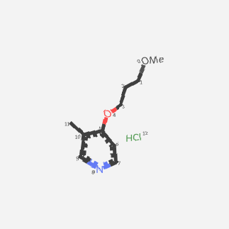 COCCCOc1ccncc1C.Cl